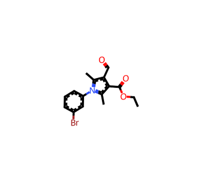 CCOC(=O)c1c(C=O)c(C)n(-c2cccc(Br)c2)c1C